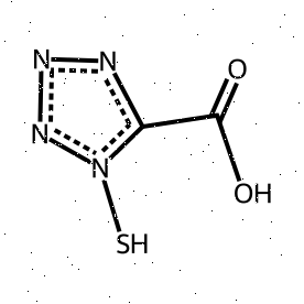 O=C(O)c1nnnn1S